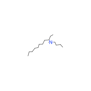 CCCCCCCCC(CC)[N]CCCC